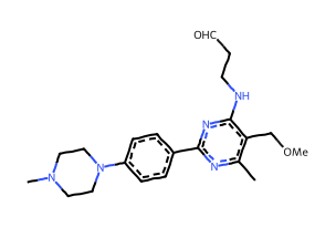 COCc1c(C)nc(-c2ccc(N3CCN(C)CC3)cc2)nc1NCCC=O